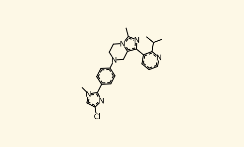 Cc1nc(-c2cccnc2C(C)C)c2n1CCN(c1ccc(-c3nc(Cl)cn3C)cc1)C2